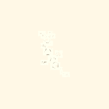 CCOc1ccc2c(C#N)c(-c3ccc(NC(=O)OC(C)C(F)(F)F)cc3)n(C3CCC3)c2c1